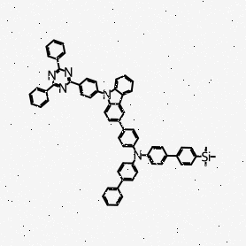 C[Si](C)(C)c1ccc(-c2ccc(N(c3ccc(-c4ccccc4)cc3)c3ccc(-c4ccc5c(c4)c4ccccc4n5-c4ccc(-c5nc(-c6ccccc6)nc(-c6ccccc6)n5)cc4)cc3)cc2)cc1